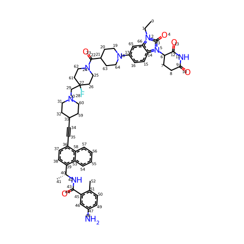 CCn1c(=O)n(C2CCC(=O)NC2=O)c2ccc(N3CCC(C(=O)N4CCC(F)(CN5CCC(C#Cc6ccc([C@@H](C)NC(=O)c7cc(N)ccc7C)c7ccccc67)CC5)CC4)CC3)cc21